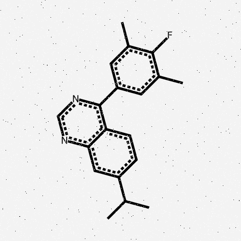 Cc1cc(-c2ncnc3cc(C(C)C)ccc23)cc(C)c1F